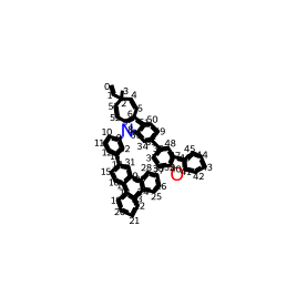 C=CC1(C)C=Cc2c(n(-c3cccc(-c4ccc5c6ccccc6c6ccccc6c5c4)c3)c3cc(-c4ccc5oc6ccccc6c5c4)ccc23)C=C1